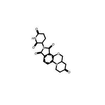 O=C1CCN2c3ccc4c(c3OCC2C1)C(=O)N(C1CCC(=O)NC1=O)C4=O